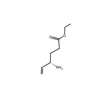 C=C[C@@H](N)CCC(=O)OCC